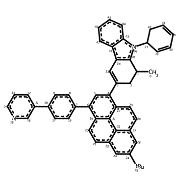 CC1CC(c2cc(-c3ccc(-c4cccnc4)cc3)c3ccc4cc(C(C)(C)C)cc5ccc2c3c54)=Cc2c1n(C1C=CC=CC1)c1ccccc21